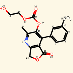 Cc1nc2c(c(-c3cccc([N+](=O)[O-])c3)c1OC(=O)OCCO)C(=O)OC2